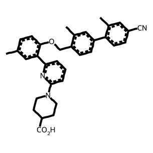 Cc1ccc(OCc2ccc(-c3ccc(C#N)cc3C)cc2C)c(-c2cccc(N3CCC(C(=O)O)CC3)n2)c1